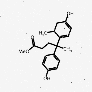 COC(=O)CCC(C)(C1=CC=C(O)CC1C)c1ccc(O)cc1